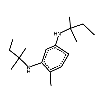 CCC(C)(C)Nc1ccc(C)c(NC(C)(C)CC)c1